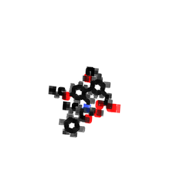 COc1ccc(-c2cc(CC(=O)O)ccc2OC)c(CN2C(=O)O[C@H](c3ccccc3)[C@@H]2C)c1